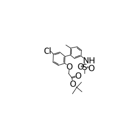 Cc1ccc(NS(C)(=O)=O)cc1-c1cc(Cl)ccc1OCC(=O)OC(C)(C)C